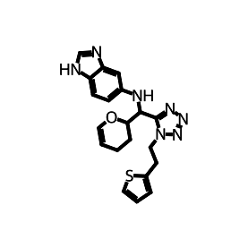 C1=COC(C(Nc2ccc3[nH]cnc3c2)c2nnnn2CCc2cccs2)CC1